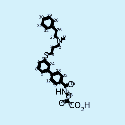 CN(CCCSc1cccc(-c2ccc(C(=O)NOC(=O)C(=O)O)cc2)c1)CCc1ccccc1